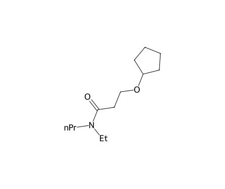 CCCN(CC)C(=O)CCOC1CCCC1